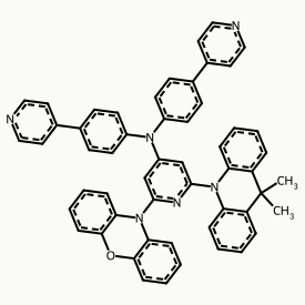 CC1(C)c2ccccc2N(c2cc(N(c3ccc(-c4ccncc4)cc3)c3ccc(-c4ccncc4)cc3)cc(N3c4ccccc4Oc4ccccc43)n2)c2ccccc21